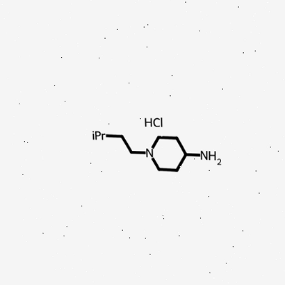 CC(C)CCN1CCC(N)CC1.Cl